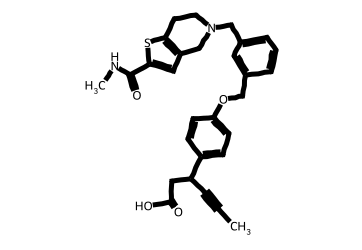 CC#CC(CC(=O)O)c1ccc(OCc2cccc(CN3CCc4sc(C(=O)NC)cc4C3)c2)cc1